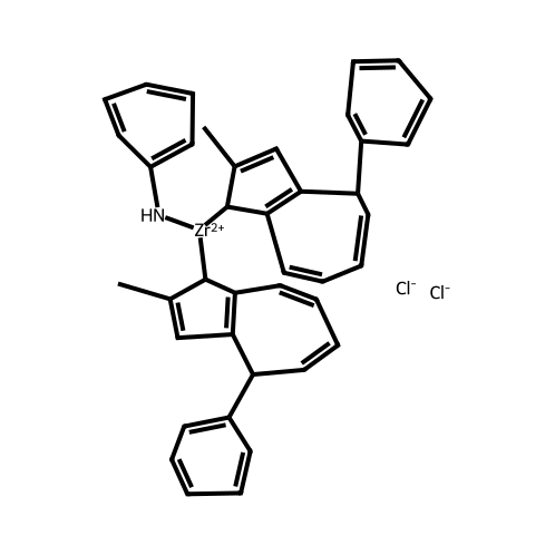 CC1=CC2=C(C=CC=CC2c2ccccc2)[CH]1[Zr+2]([NH]c1ccccc1)[CH]1C(C)=CC2=C1C=CC=CC2c1ccccc1.[Cl-].[Cl-]